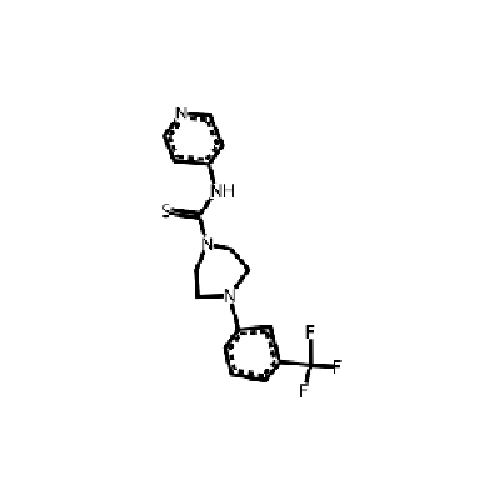 FC(F)(F)c1cccc(N2CCN(C(=S)Nc3ccncc3)CC2)c1